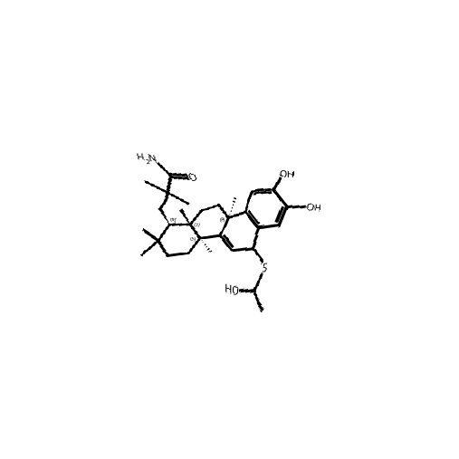 CC(O)SC1C=C2[C@@](C)(CC[C@@]3(C)[C@H](CC(C)(C)C(N)=O)C(C)(C)CC[C@]23C)c2cc(O)c(O)cc21